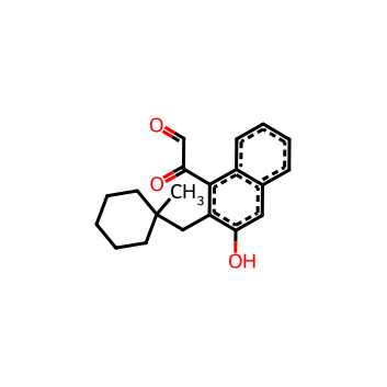 CC1(Cc2c(O)cc3ccccc3c2C(=O)C=O)CCCCC1